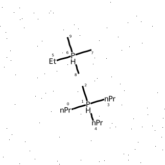 CCC[PH](C)(CCC)CCC.CC[PH](C)(C)C